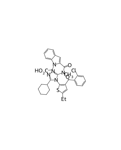 CCc1cc(C(=O)c2ccccc2Cl)c(-n2c(C3CCCCC3)nnc2N(C)C(=O)c2cc3ccccc3n2CC(=O)O)s1